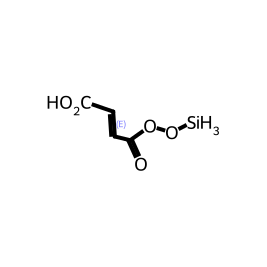 O=C(O)/C=C/C(=O)OO[SiH3]